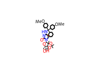 COc1ccc(C(Nc2ccn([C@@H]3O[C@H](CO)[C@@H]4OC(C)(C)OC43C)c(=O)n2)(c2ccccc2)c2ccc(OC)cc2)cc1